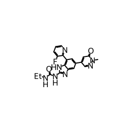 CCNC(=O)Nc1nc2cc(-c3cnn(C)c(=O)c3)cc(-c3ncccc3F)c2[nH]1